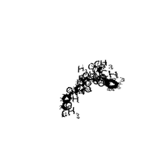 CC(C)OC(=O)[C@@H](C)NP(=O)(OC[C@H]1OC(n2ccc(NC(=O)c3ccc4c(c3)OC(C)C4)nc2=O)C(F)(F)[C@@H]1O)Oc1ccccc1